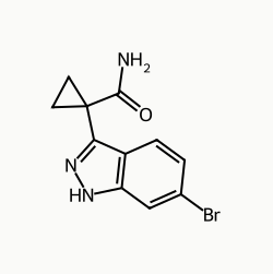 NC(=O)C1(c2n[nH]c3cc(Br)ccc23)CC1